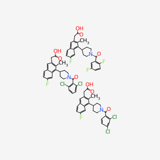 Cc1c(CC(=O)O)cc2ccc(F)cc2c1C1CCN(C(=O)c2c(Cl)cccc2Cl)CC1.Cc1c(CC(=O)O)cc2ccc(F)cc2c1C1CCN(C(=O)c2cc(F)ccc2F)CC1.Cc1c(CC(=O)O)cc2ccc(F)cc2c1C1CCN(C(=O)c2ccc(Cl)cc2Cl)CC1